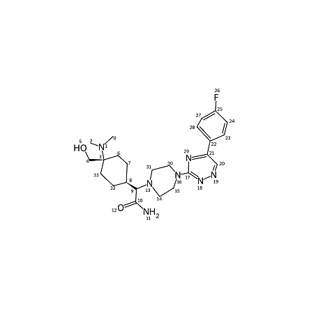 CN(C)[C@]1(CO)CC[C@@H](C(C(N)=O)N2CCN(c3nncc(-c4ccc(F)cc4)n3)CC2)CC1